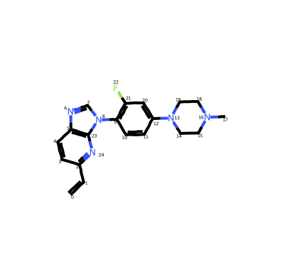 C=Cc1ccc2ncn(-c3ccc(N4CCN(C)CC4)cc3F)c2n1